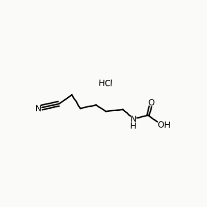 Cl.N#CCCCCCNC(=O)O